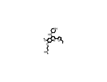 CCc1ccc(-c2cc(NC3CCNCC3)c3cc(OC)c(OCCCNC)cc3n2)o1